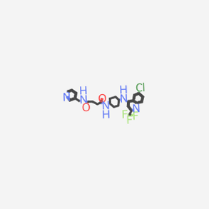 O=C(CCC(=O)NC1CCC(Nc2cc(C(F)(F)F)nc3ccc(Cl)cc23)CC1)NCc1cccnc1